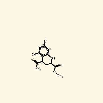 COC(=O)C1CC(C(N)=O)c2c(Cl)cc(Cl)cc2N1